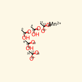 CC(=O)O.CC(=O)O.CC(=O)O.CC(=O)[O-].CC(=O)[O-].[Mn+2]